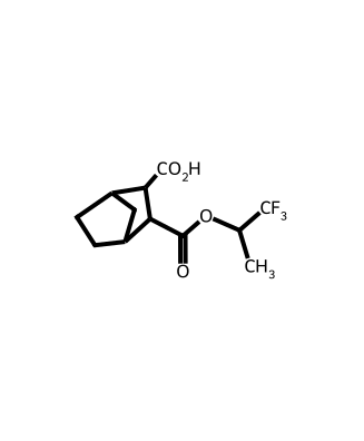 CC(OC(=O)C1C2CCC(C2)C1C(=O)O)C(F)(F)F